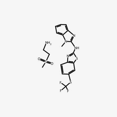 CS(=O)(=O)CCN.Cn1c(Nc2nc3ccc(SC(F)(F)F)cc3s2)nc2ccccc21